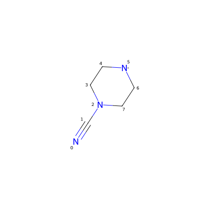 N#CN1CC[N]CC1